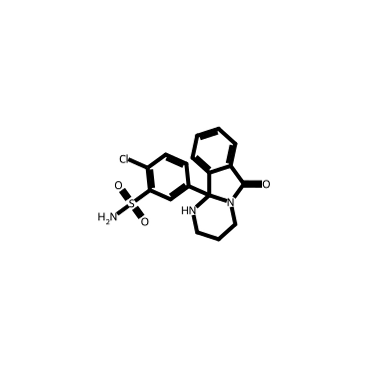 NS(=O)(=O)c1cc(C23NCCCN2C(=O)c2ccccc23)ccc1Cl